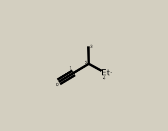 C#CC(C)[CH]C